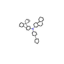 c1ccc(-c2ccc(N(c3ccc4c(c3)C3(CC5CCC3C5)c3ccccc3-4)c3ccc4c(ccc5ccccc54)c3)cc2)cc1